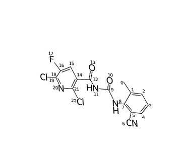 Cc1cccc(C#N)c1NC(=O)NC(=O)c1cc(F)c(Cl)nc1Cl